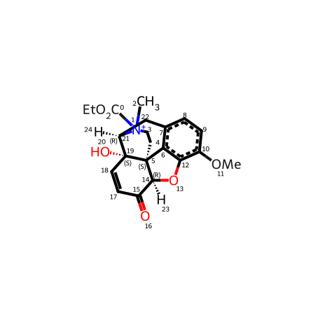 CCOC(=O)[N+]1(C)CC[C@]23c4c5ccc(OC)c4O[C@H]2C(=O)C=C[C@@]3(O)[C@H]1C5